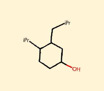 CC(C)CC1CC(O)CCC1C(C)C